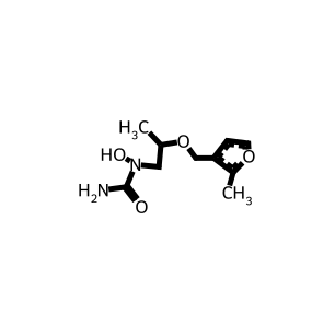 Cc1occc1COC(C)CN(O)C(N)=O